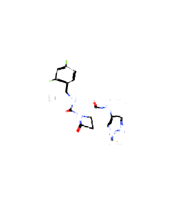 CC[C@@H](NC(=O)N1C(=O)C[C@H]1C(=O)N(C)c1cnn(C)c1)c1ccc(F)cc1F